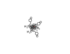 C[SiH](C)O[Si](O[Si](C)(C)CCC1CCC2OC2C1)(O[Si](C)(C)CCC1CCC2OC2C1)O[Si](C)(C)CCC1CCC2OC2C1